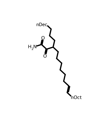 CCCCCCCCC=CCCCCCCC(CCCCCCCCCCCCC)C(=O)C(N)=O